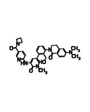 CN(C)c1ccc2c(c1)CCN(c1cccc(-c3cc(Nc4ccc(C(=O)N5CCC5)cn4)c(=O)n(C)c3)c1CO)C2=O